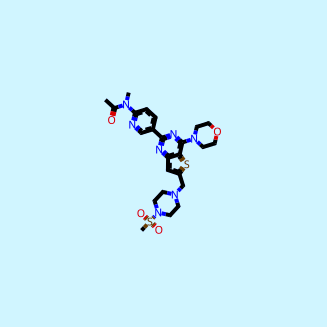 CC(=O)N(C)c1ccc(-c2nc(N3CCOCC3)c3sc(CN4CCN(S(C)(=O)=O)CC4)cc3n2)cn1